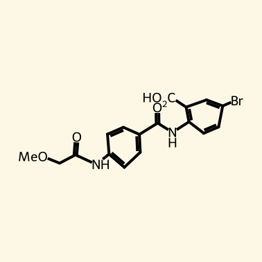 COCC(=O)Nc1ccc(C(=O)Nc2ccc(Br)cc2C(=O)O)cc1